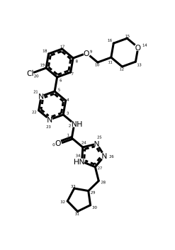 O=C(Nc1cc(-c2cc(OCC3CCOCC3)ccc2Cl)ncn1)c1nnc(CC2CCCC2)[nH]1